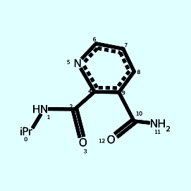 CC(C)NC(=O)c1ncccc1C(N)=O